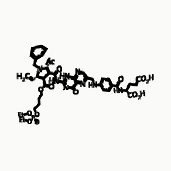 C=C[C@H]1C(C(=O)OCCCCOP(=O)(OCC)OCC)C(C(=O)Nc2nc(=O)c3nc(CNc4ccc(C(=O)N[C@H](CCC(=O)O)C(=O)O)cc4)cnc3[nH]2)[C@@H](C(C)=O)N1Cc1ccccc1